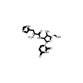 N[C@@H](Cc1cnc[nH]1)C(=O)NC1C(O)[C@H](CO)O[C@@H]1n1ccc(=O)[nH]c1=O